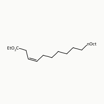 CCCCCCCCCCCCCC/C=C\CC(=O)OCC